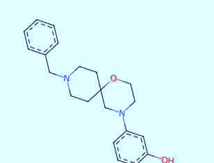 Oc1cccc(N2CCOC3(CCN(Cc4ccccc4)CC3)C2)c1